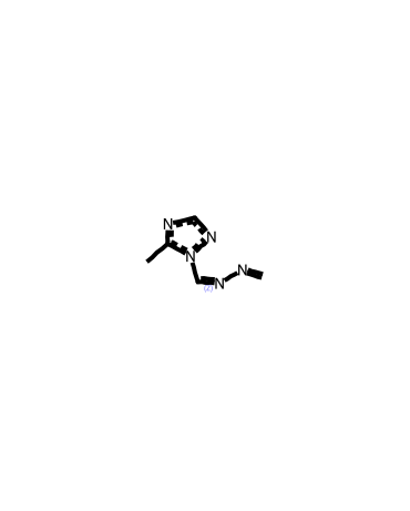 C=N/N=C\n1ncnc1C